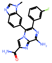 Cn1cnc2ccc(-c3c(-c4cccc(F)c4)nc(N)c4nc(C(N)=O)cn34)cc21